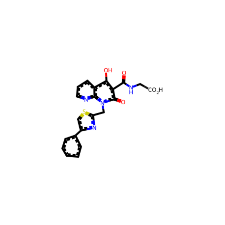 O=C(O)CNC(=O)c1c(O)c2cccnc2n(Cc2nc(-c3ccccc3)cs2)c1=O